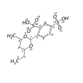 CCC1CC(C)OC(c2ccc(S(=O)(=O)O)cc2S(=O)(=O)O)O1